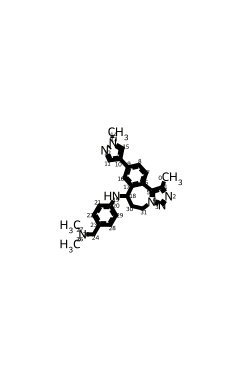 Cc1nnn2c1-c1ccc(-c3cnn(C)c3)cc1C(Nc1ccc(CN(C)C)cc1)CC2